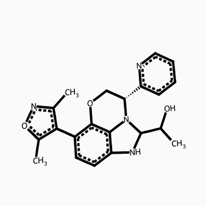 Cc1noc(C)c1-c1ccc2c3c1OC[C@H](c1ccccn1)N3C(C(C)O)N2